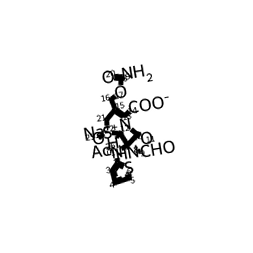 CC(=O)N(c1cccs1)[C@]1(NC=O)C(=O)N2C(C(=O)[O-])=C(COC(N)=O)C[S+]([O-])[C@H]21.[Na+]